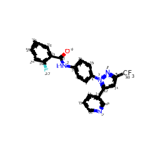 O=C(Nc1ccc(-n2nc(C(F)(F)F)cc2-c2cccnc2)cc1)c1ccccc1F